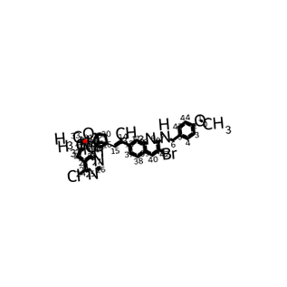 COc1ccc(CNc2nc3cc(/C(C)=C/[C@]45C[C@@H](n6ccc7c(Cl)ncnc76)[C@@]6(C4)OC(C)(C)O[C@H]56)ccc3cc2Br)cc1